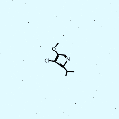 COc1cnc(C(C)C)cc1Cl